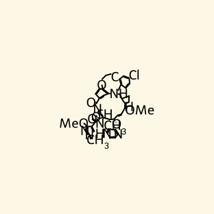 COc1nn(C)cc1C(=O)NC1[C@@H](C)[C@@H](Oc2cnccn2)/C=C/[C@H](OC)[C@@H]2CC[C@H]2CN2Cc3ccc(Cl)cc3CCCCOc3ccc(cc32)C(=O)/N=[SH]\1=O